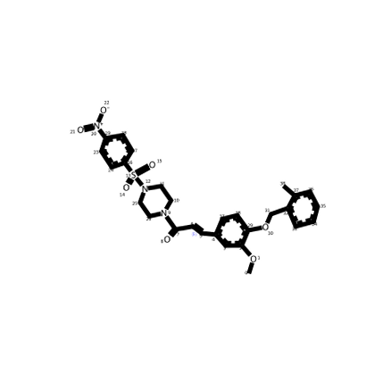 COc1cc(/C=C/C(=O)N2CCN(S(=O)(=O)c3ccc([N+](=O)[O-])cc3)CC2)ccc1OCc1ccccc1C